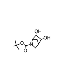 CC(C)(C)OC(=O)N1CC2CC1C(O)C2O